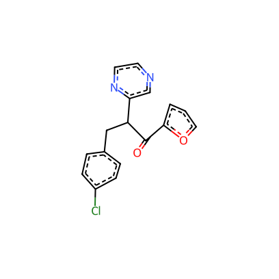 O=C(c1ccco1)C(Cc1ccc(Cl)cc1)c1cnccn1